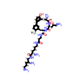 Cc1ccc2cc1C[C@@H](C(=O)NCCC(=O)NCCCC[C@H](N)C(=O)NC[C@@H](N)CCCN)NC(=O)[C@H](C[C@@H](O)CN)NC(=O)[C@@H](N)Cc1cc-2ccc1O